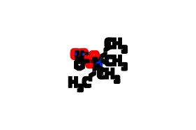 CCCCCC(CC)N(C(=O)OCc1ccccc1[N+](=O)[O-])C(CC)CCCCC